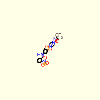 CN(c1ccccc1C(=O)Nc1ccc(S(=O)(=O)N2CCN(c3nc(C(F)(F)F)co3)CC2)cc1)S(C)(=O)=O